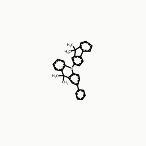 CC1(C)c2ccccc2-c2ccc(N3c4ccccc4C(C)(C)c4cc(-c5ccccc5)ccc43)cc21